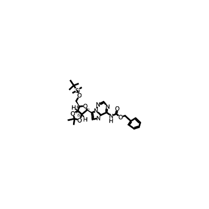 CC1(C)O[C@@H]2[C@H](O1)[C@@H](CO[Si](C)(C)C(C)(C)C)O[C@H]2c1cnc2c(NC(=O)OCc3ccccc3)ncnn12